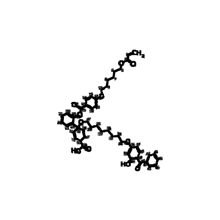 C=CC(=O)OCCCCCCOc1ccc(C(=O)Oc2ccccc2C2(OCCCCCCCCOc3ccc(C(=O)c4ccccc4)c(O)c3)C=CC(C(=O)O)C=C2)cc1